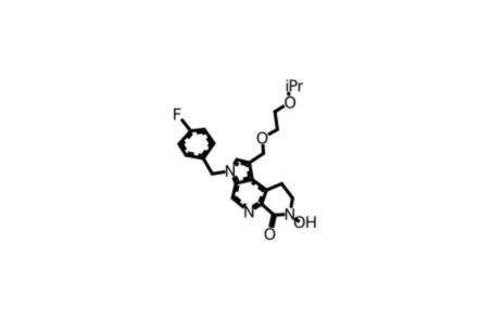 CC(C)OCCOCc1cn(Cc2ccc(F)cc2)c2cnc3c(c12)CCN(O)C3=O